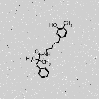 Cc1ccc(CCCCNC(=O)C(C)(C)Sc2ccccc2)cc1O